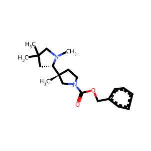 CN1CC(C)(C)C[C@H]1[C@]1(C)CCN(C(=O)OCc2ccccc2)C1